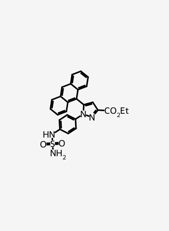 CCOC(=O)c1cc(-c2c3ccccc3cc3ccccc23)n(-c2ccc(NS(N)(=O)=O)cc2)n1